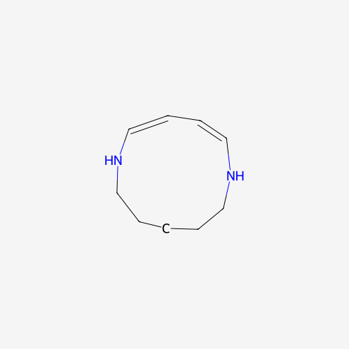 C1=CNCCCCCNC=C1